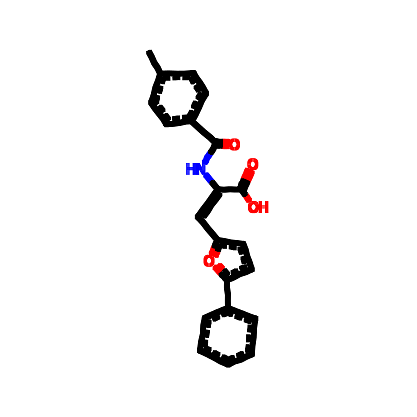 Cc1ccc(C(=O)N/C(=C/c2ccc(-c3ccccc3)o2)C(=O)O)cc1